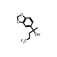 CC(O)(CCC(F)(F)F)c1ccc2c(c1)OCO2